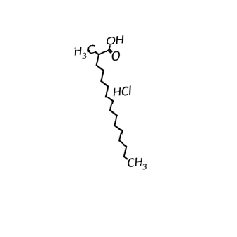 CCCCCCCCCCCCCCC(C)C(=O)O.Cl